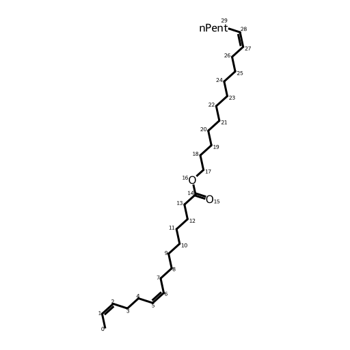 C/C=C\CC/C=C\CCCCCCCC(=O)OCCCCCCCCCC/C=C\CCCCC